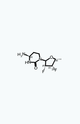 C[C@H]1OC(N2CC[C@H](N)NC2=O)[C@@H](F)[C@H]1[18F]